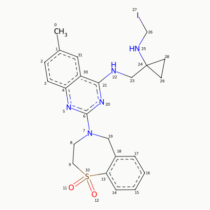 Cc1ccc2nc(N3CCS(=O)(=O)c4ccccc4C3)nc(NCC3(NCI)CC3)c2c1